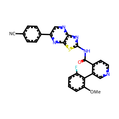 COc1cccc(F)c1-c1cnccc1C(=O)Nc1nc2ncc(-c3ccc(C#N)cc3)nc2s1